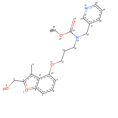 Cc1c(CO)oc2cccc(OCCCN(Cc3cccnc3)C(=O)OC(C)(C)C)c12